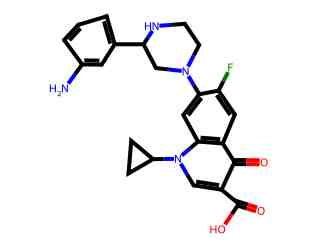 Nc1cccc(C2CN(c3cc4c(cc3F)c(=O)c(C(=O)O)cn4C3CC3)CCN2)c1